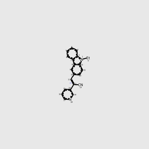 CCn1c2ccccc2c2cc(/C=C(\C#N)c3cccnc3)ccc21